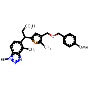 CCn1nnc2c(C)c(C(CC(=O)O)c3cc(COCc4ccc(OC)cc4)c(C)s3)ccc21